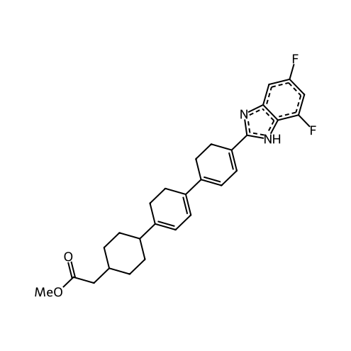 COC(=O)CC1CCC(C2=CC=C(C3=CC=C(c4nc5cc(F)cc(F)c5[nH]4)CC3)CC2)CC1